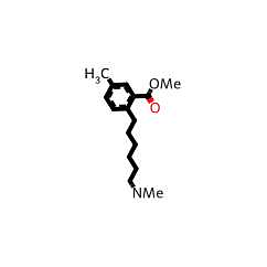 CNCCCCCCc1ccc(C)cc1C(=O)OC